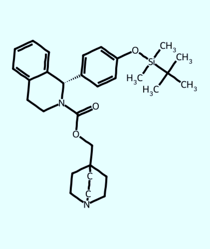 CC(C)(C)[Si](C)(C)Oc1ccc([C@H]2c3ccccc3CCN2C(=O)OCC23CCN(CC2)CC3)cc1